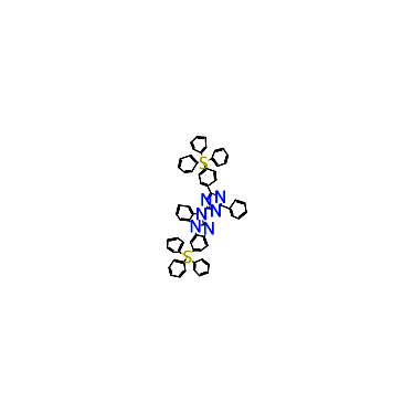 c1ccc(-c2nc(-c3ccc(S(c4ccccc4)(c4ccccc4)c4ccccc4)cc3)nc(-n3c4ccccc4n4c5cc(S(c6ccccc6)(c6ccccc6)c6ccccc6)ccc5nc34)n2)cc1